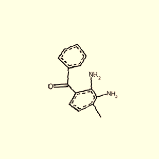 Cc1ccc(C(=O)c2ccccc2)c(N)c1N